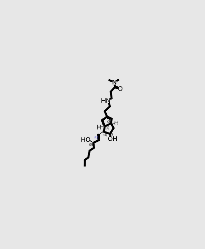 CCCCC[C@H](O)/C=C/[C@@H]1[C@H]2CC(CCNCCC(=O)N(C)C)=C[C@H]2C[C@H]1O